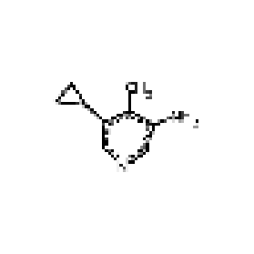 Cc1c(N)cncc1C1CC1